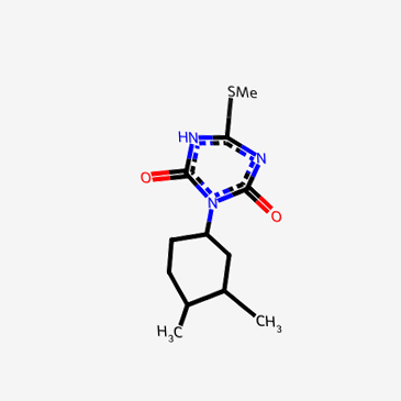 CSc1nc(=O)n(C2CCC(C)C(C)C2)c(=O)[nH]1